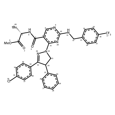 COC(=O)[C@@H](NC(=O)c1cnc(NCc2ccc(C(F)(F)F)cc2)nc1N1CC(c2ccccc2)C(c2ccc(Cl)cc2)=N1)C(C)(C)C